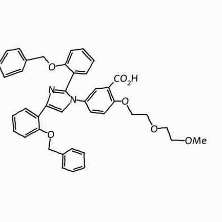 COCCOCCOc1ccc(-n2cc(-c3ccccc3OCc3ccccc3)nc2-c2ccccc2OCc2ccccc2)cc1C(=O)O